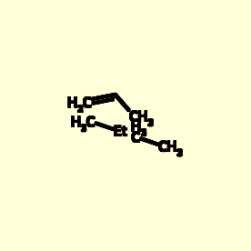 C=CC.CC.CCC